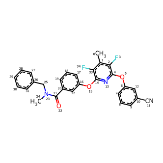 Cc1c(F)c(Oc2cccc(C#N)c2)nc(Oc2cccc(C(=O)N(C)Cc3ccccc3)c2)c1F